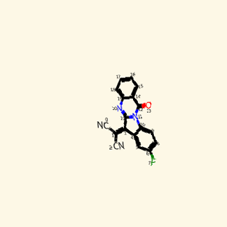 N#CC(C#N)=c1c2cc(F)ccc2n2c(=O)c3ccccc3nc12